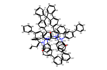 C=C/C=C(\C=C)N(C1=CCC=C(c2ccccc2)C=C1)c1cc(-c2ccc3c(c2)C2(c4ccccc4-3)c3ccccc3-c3ccc(-c4cc(N(c5ccccc5)c5ccc(-c6ccccc6)cc5)cc(N(c5ccccc5)c5ccc(-c6ccccc6)cc5)c4)cc32)cc(N(c2ccccc2)c2ccc(-c3ccccc3)cc2)c1